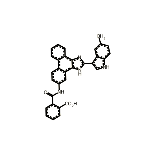 Bc1ccc2[nH]cc(-c3nc4c5ccccc5c5ccc(NC(=O)c6ccccc6C(=O)O)cc5c4[nH]3)c2c1